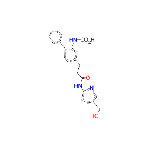 O=C(O)Nc1cc(CCC(=O)Nc2ccc(CO)cn2)ccc1-c1ccccc1